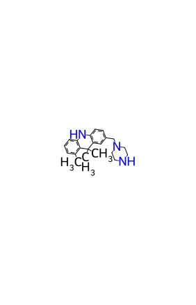 Cc1cccc2c1C(C)(C)c1cc(CN3CCNCC3)ccc1N2